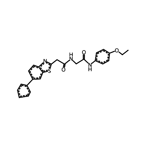 CCOc1ccc(NC(=O)CNC(=O)Cc2nc3ccc(-c4ccccc4)cc3s2)cc1